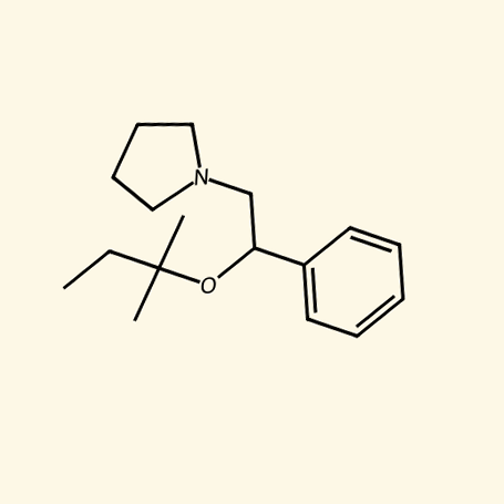 CCC(C)(C)OC(CN1CCCC1)c1ccccc1